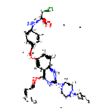 C=CCOc1nc(N2CCN(C)CC2)nc2ccc(Oc3ccc(NC(=O)CCl)cc3)cc12